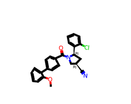 COc1ccccc1-c1ccc(C(=O)N2C[C@H](C#N)C[C@@H]2c2ccccc2Cl)cc1